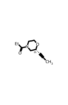 CC#C[C@@H]1CN(C(=O)CC)CCO1